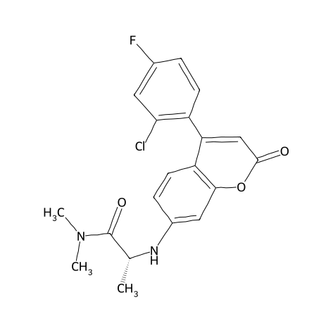 C[C@@H](Nc1ccc2c(-c3ccc(F)cc3Cl)cc(=O)oc2c1)C(=O)N(C)C